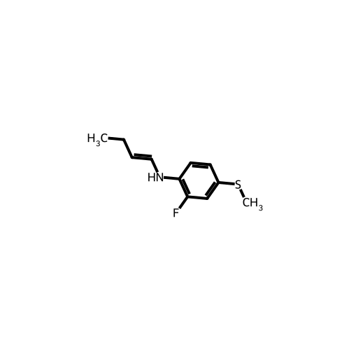 CC/C=C/Nc1ccc(SC)cc1F